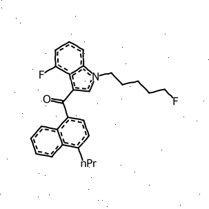 CCCc1ccc(C(=O)c2cn(CCCCCF)c3cccc(F)c23)c2ccccc12